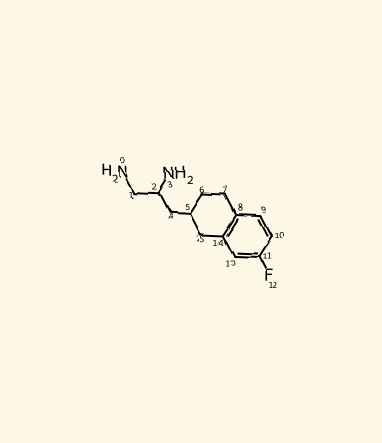 NCC(N)CC1CCc2ccc(F)cc2C1